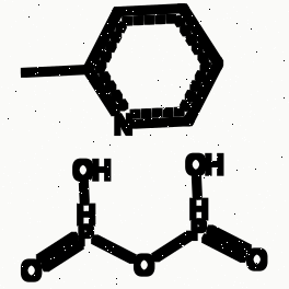 Cc1ccccn1.O=[PH](O)O[PH](=O)O